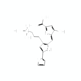 CC1=CC(C(=O)O)=N/C1=C\c1[nH]c(-c2cccs2)cc1CCC[N+](C)(C)C